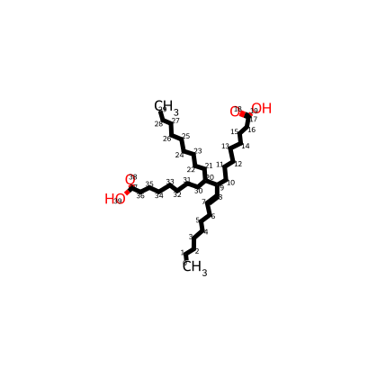 CCCCCCCC=CC(CCCCCCCC(=O)O)C(CCCCCCCCC)CCCCCCCC(=O)O